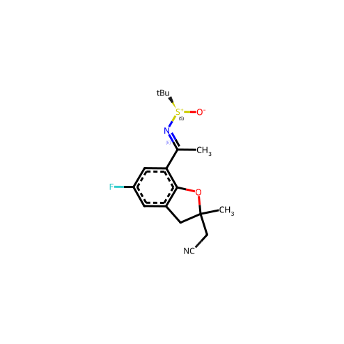 C/C(=N\[S@+]([O-])C(C)(C)C)c1cc(F)cc2c1OC(C)(CC#N)C2